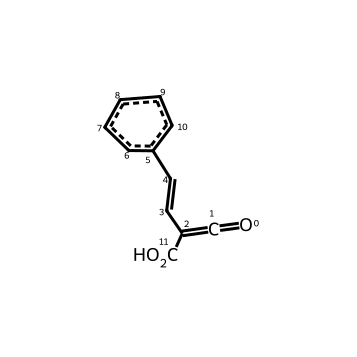 O=C=C(C=Cc1ccccc1)C(=O)O